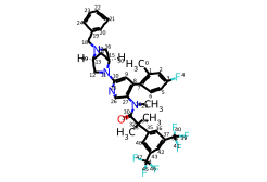 Cc1cc(F)ccc1-c1cc(N2C[C@@H]3C[C@H]2CN3Cc2ccccc2)ncc1N(C)C(=O)C(C)(C)c1cc(C(F)(F)F)cc(C(F)(F)F)c1